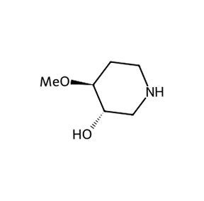 CO[C@H]1CCNC[C@@H]1O